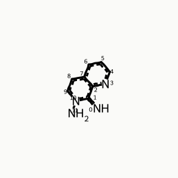 N=c1c2ncccc2ccn1N